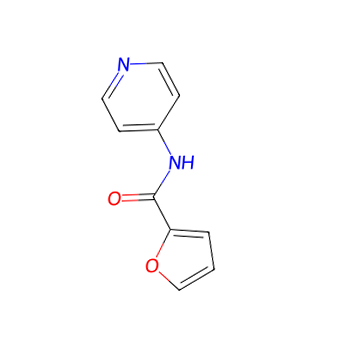 O=C(Nc1ccncc1)c1ccco1